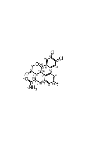 CCC[C@@H](C(N)=O)N1C(=O)CO[C@@H](c2ccc(Cl)c(Cl)c2)[C@H]1c1ccc(Cl)cc1